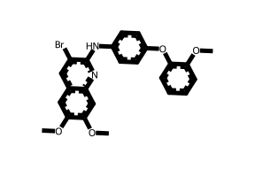 COc1cc2cc(Br)c(Nc3ccc(Oc4ccccc4OC)cc3)nc2cc1OC